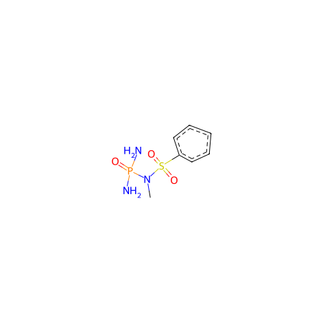 CN(P(N)(N)=O)S(=O)(=O)c1ccccc1